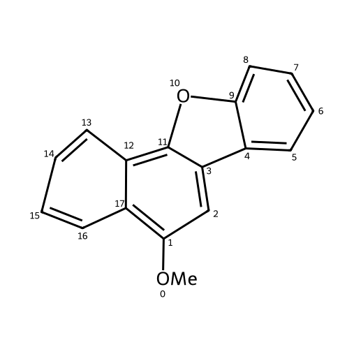 COc1cc2c3ccccc3oc2c2ccccc12